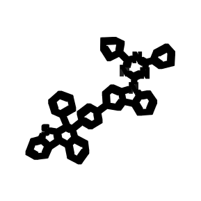 c1ccc(-c2nc(-c3ccccc3)nc(-n3c4ccccc4c4cc(-c5ccc(-c6c(-c7ccccc7)c7sc8ccccc8c7c7ccccc67)cc5)ccc43)n2)cc1